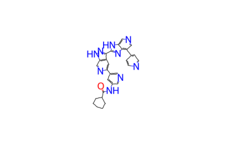 O=C(Nc1cncc(-c2cc3c(-c4nc5c(-c6ccncc6)cncc5[nH]4)n[nH]c3cn2)c1)C1CCCCC1